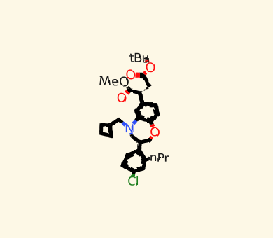 CCCc1cc(Cl)ccc1C1COc2ccc([C@@H](CC(=O)OC(C)(C)C)C(=O)OC)cc2N(CC2CCC2)C1